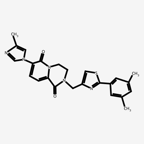 Cc1cc(C)cc(-c2nc(CN3CCn4c(ccc(-n5cnc(C)c5)c4=O)C3=O)cs2)c1